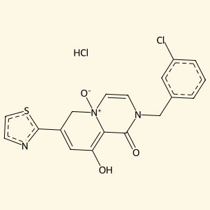 Cl.O=C1C2=C(O)C=C(c3nccs3)C[N+]2([O-])C=CN1Cc1cccc(Cl)c1